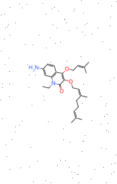 CCn1c(=O)c(OCC=C(C)CCC=C(C)C)c(OCC=C(C)C)c2ccc(N)cc21